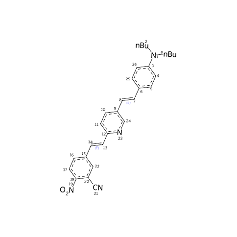 CCCCN(CCCC)c1ccc(/C=C/c2ccc(/C=C/c3ccc([N+](=O)[O-])c(C#N)c3)nc2)cc1